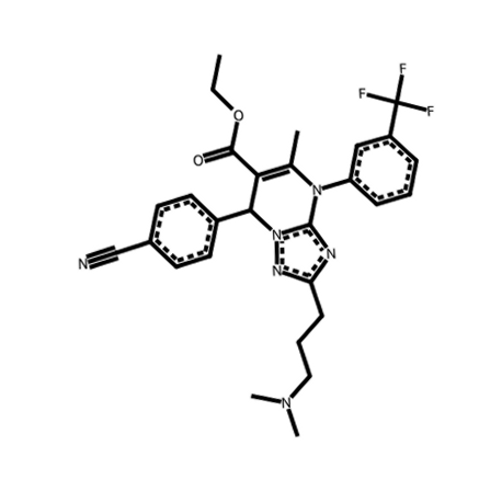 CCOC(=O)C1=C(C)N(c2cccc(C(F)(F)F)c2)c2nc(CCCN(C)C)nn2C1c1ccc(C#N)cc1